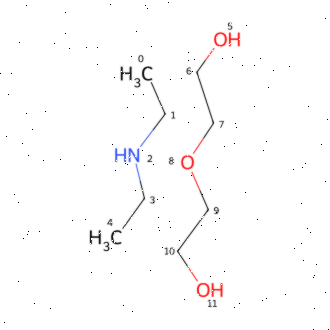 CCNCC.OCCOCCO